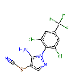 N#CSc1cnn(-c2c(Cl)cc(C(F)(F)F)cc2Cl)c1N